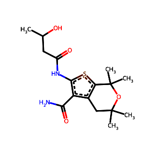 CC(O)CC(=O)Nc1sc2c(c1C(N)=O)CC(C)(C)OC2(C)C